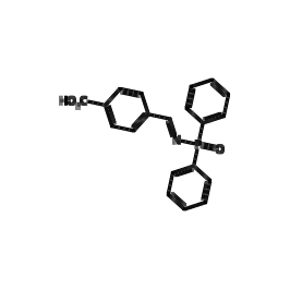 O=C(O)c1ccc(C=NP(=O)(c2ccccc2)c2ccccc2)cc1